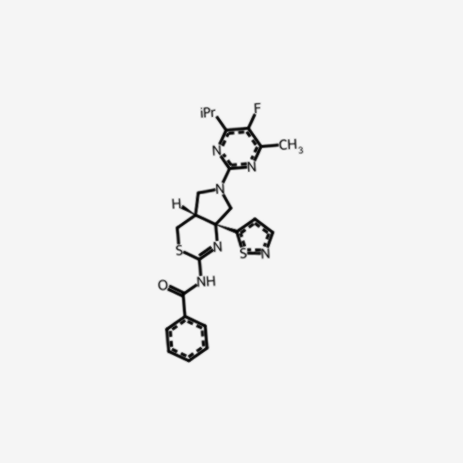 Cc1nc(N2C[C@H]3CSC(NC(=O)c4ccccc4)=N[C@@]3(c3ccns3)C2)nc(C(C)C)c1F